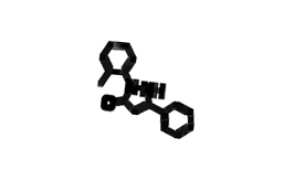 Cc1ccccc1-n1[nH]c(-c2ccccc2)cc1=O